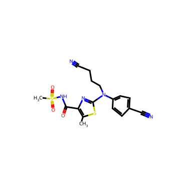 Cc1sc(N(CCCC#N)c2ccc(C#N)cc2)nc1C(=O)NS(C)(=O)=O